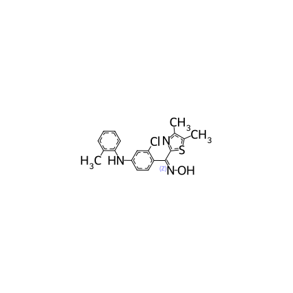 Cc1ccccc1Nc1ccc(/C(=N/O)c2nc(C)c(C)s2)c(Cl)c1